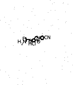 Cl.N#Cc1ccc(N2CCc3cc(OC/C(=C/F)CN)ccc3C2=O)cc1